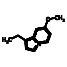 CCc1ccn2ccc(OC)cc12